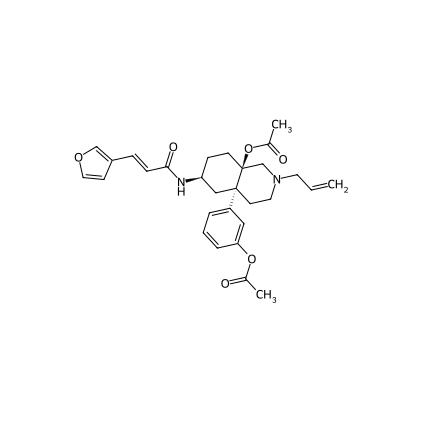 C=CCN1CC[C@@]2(c3cccc(OC(C)=O)c3)C[C@@H](NC(=O)C=Cc3ccoc3)CC[C@]2(OC(C)=O)C1